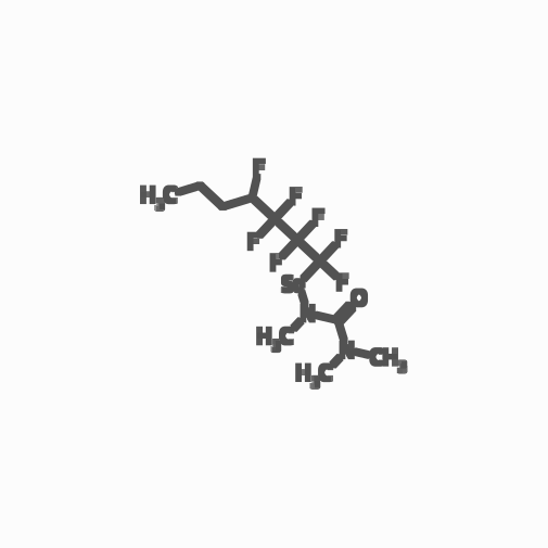 CCCC(F)C(F)(F)C(F)(F)C(F)(F)[Se]N(C)C(=O)N(C)C